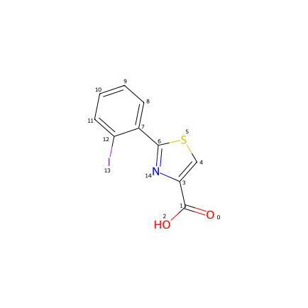 O=C(O)c1csc(-c2ccccc2I)n1